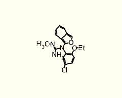 CCOc1ccc(Cl)cc1N(C(N)=NC)c1occ2ccccc12